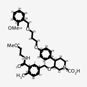 COCCNC(=O)c1cc(COC2CN(C(=O)O)CCC2c2ccc(OCCCOCc3ccccc3OC)cc2)ccc1C